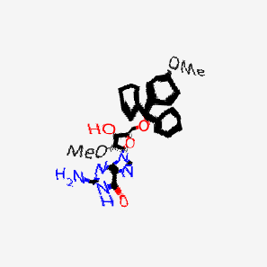 COc1ccc(C(OC[C@H]2O[C@@H](n3cnc4c(=O)[nH]c(N)nc43)[C@H](OC)[C@@H]2O)(c2ccccc2)c2ccccc2)cc1